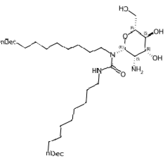 CCCCCCCCCCCCCCCCCCNC(=O)N(CCCCCCCCCCCCCCCCCC)[C@@H]1O[C@H](CO)[C@@H](O)[C@H](O)[C@@H]1N